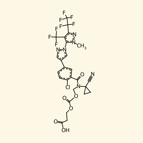 Cn1nc(C(F)(F)C(F)(F)F)c(C(F)(F)F)c1-n1cc(-c2ccc(Cl)c(C(=O)N(COC(=O)OCCC(=O)O)C3(C#N)CC3)c2)cn1